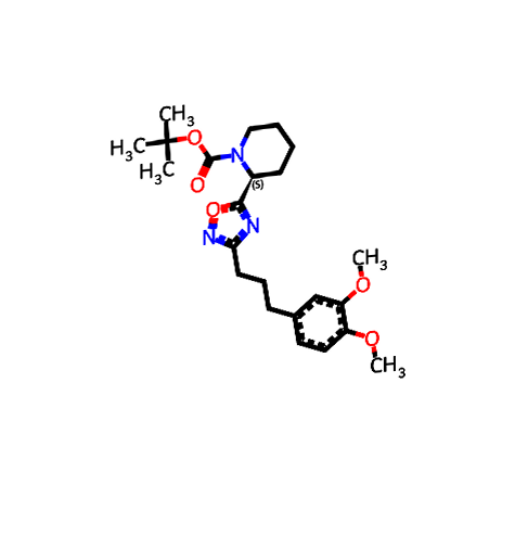 COc1ccc(CCCc2noc([C@@H]3CCCCN3C(=O)OC(C)(C)C)n2)cc1OC